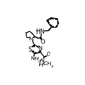 CNC(=O)c1nc(N2CCCC2C(=O)NCc2ccccc2)sc1N